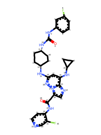 O=C(Nc1cccc(F)c1)N[C@H]1CC[C@H](Nc2cc(NC3CC3)c3ncc(C(=O)Nc4ccncc4F)n3n2)CC1